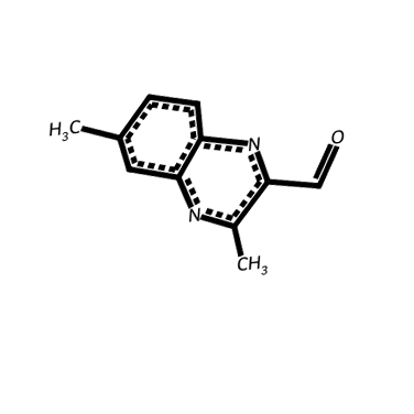 Cc1ccc2nc(C=O)c(C)nc2c1